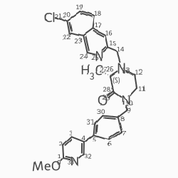 COc1ccc(-c2ccc(CN3CCN(Cc4cc5ccc(Cl)cc5cn4)[C@@H](C)C3=O)cc2)cn1